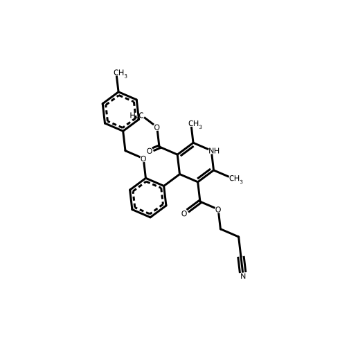 COC(=O)C1=C(C)NC(C)=C(C(=O)OCCC#N)C1c1ccccc1OCc1ccc(C)cc1